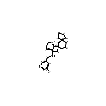 Fc1cncc(CNCC[C@]2(C3=NCCC=C3)CCCC3(CCCC3)C2)c1